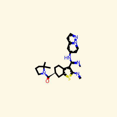 C=Nc1sc2c(c1/C(=N\C)Nc1ccn3nccc3c1)CC[C@H](C(=O)N1CCCC1(C)C)C2